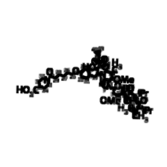 CC[C@H](C)[C@@H]([C@@H](CC(=O)N1CCC[C@H]1[C@H](OC)[C@@H](C)C(=O)N[C@@H](Cc1ccc(OCCCCCC(=O)N2CCC(C(=O)O)CC2)cc1)C(O)NS(=O)(=O)C1CC1)OC)N(C)C(=O)[C@@H](NC(=O)[C@H](C(C)C)N(C)C)C(C)C